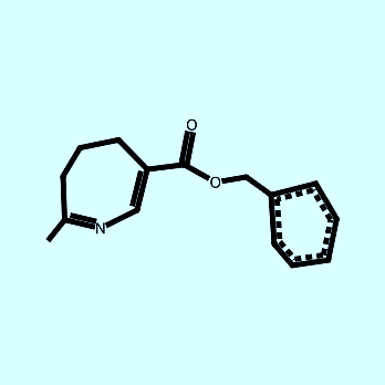 CC1=NC=C(C(=O)OCc2ccccc2)CCC1